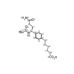 CC(C)(C)[S+]([O-])N[C@@H](CCC(N)=O)c1ccc(CCCCCC(=O)O)cn1